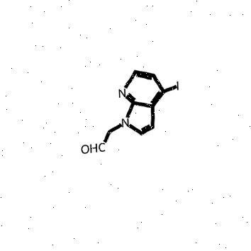 O=CCn1ccc2c(I)ccnc21